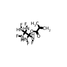 C=C(C)C(=O)OC(NF)(NF)C(NF)(NF)NF